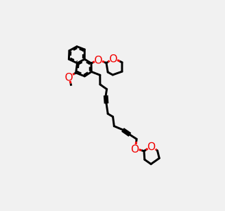 COc1cc(CCCC#CCCCC#CCOC2CCCCO2)c(OC2CCCCO2)c2ccccc12